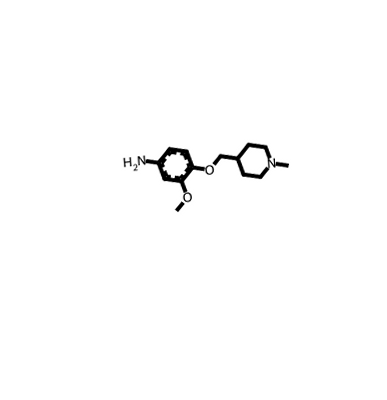 COc1cc(N)ccc1OCC1CCN(C)CC1